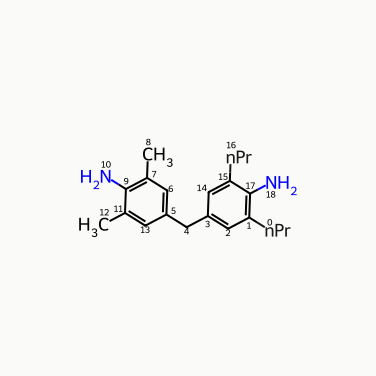 CCCc1cc(Cc2cc(C)c(N)c(C)c2)cc(CCC)c1N